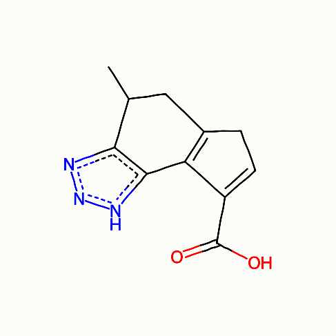 CC1CC2=C(C(C(=O)O)=CC2)c2[nH]nnc21